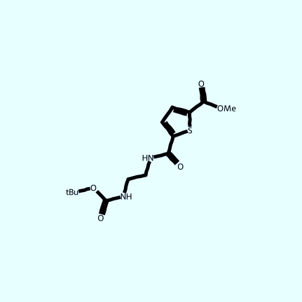 COC(=O)c1ccc(C(=O)NCCNC(=O)OC(C)(C)C)s1